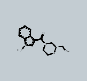 Cn1cc(C(=O)N2CCO[C@H](CO)C2)c2ccccc21